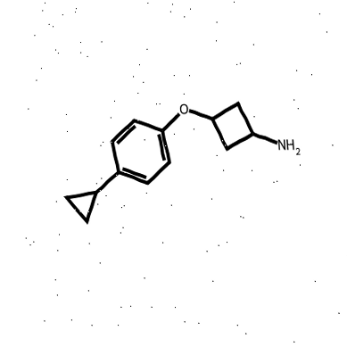 NC1CC(Oc2ccc(C3CC3)cc2)C1